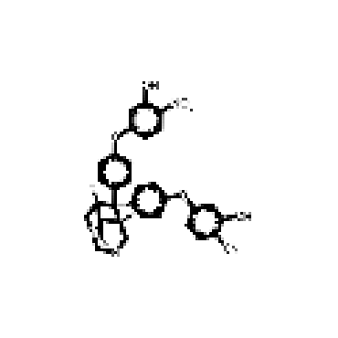 N#Cc1ccc(Oc2ccc([C@]3(c4ccc(Oc5ccc([N+](=O)[O-])c(O)c5)cc4)[C@H]4C[N@@]5C[C@H]3C[N@@](C4)C5)cc2)cc1O